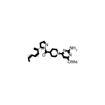 C=C(/C=C\C=C/C)[C@@H]1CC=NN1C(=O)C1CCN(c2cc(OC)nc(N)n2)CC1